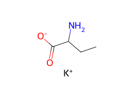 CCC(N)C(=O)[O-].[K+]